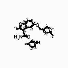 Cc1ncc(COc2ccc3oc(C)c(C(N)=O)c3c2)s1.c1cc[nH]c1